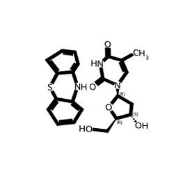 Cc1cn([C@H]2C[C@H](O)[C@@H](CO)O2)c(=O)[nH]c1=O.c1ccc2c(c1)Nc1ccccc1S2